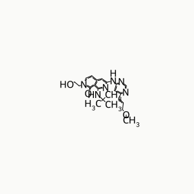 COC/C=C/c1cc(Nc2cc3ccn(CCO)c(=O)c3c(NC(C)(C)C)n2)ncn1